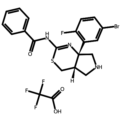 O=C(NC1=N[C@]2(c3cc(Br)ccc3F)CNC[C@@H]2CS1)c1ccccc1.O=C(O)C(F)(F)F